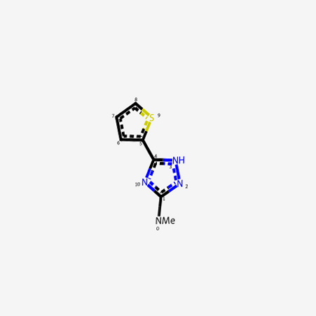 CNc1n[nH]c(-c2cccs2)n1